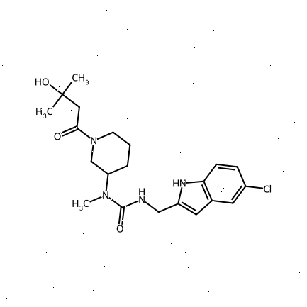 CN(C(=O)NCc1cc2cc(Cl)ccc2[nH]1)C1CCCN(C(=O)CC(C)(C)O)C1